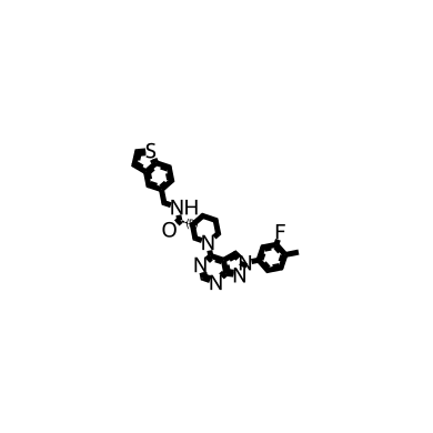 Cc1ccc(-n2cc3c(N4CCC[C@@H](C(=O)NCc5ccc6sccc6c5)C4)ncnc3n2)cc1F